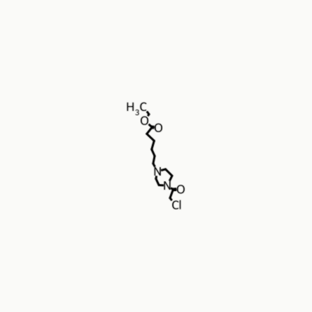 CCOC(=O)CCCCCN1CCN(C(=O)CCl)CC1